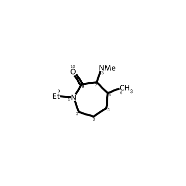 CCN1CCCC(C)C(NC)C1=O